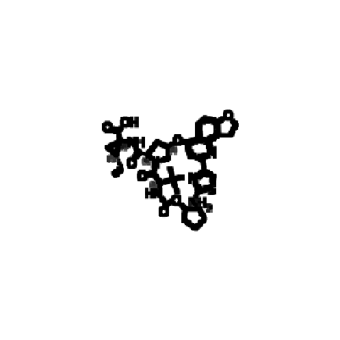 C=C[C@@H]1C[C@]1(NC(=O)[C@@H]1C[C@@H](Oc2cc(-c3csc(N)n3)nc3c4c(ccc23)OCC4)CN1C(=O)[C@@H](NC(=O)OC1CCCC1)C(C)(C)C)C(=O)O